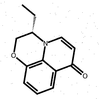 CC[C@H]1COc2cccc3c(=O)ccn1c23